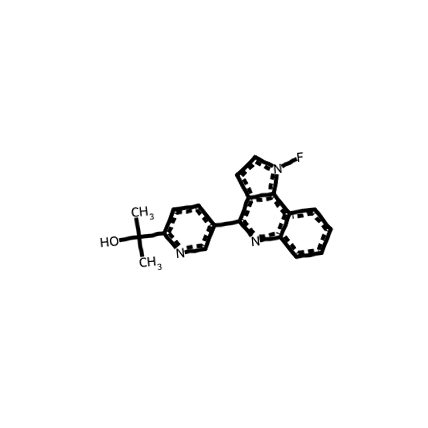 CC(C)(O)c1ccc(-c2nc3ccccc3c3c2ccn3F)cn1